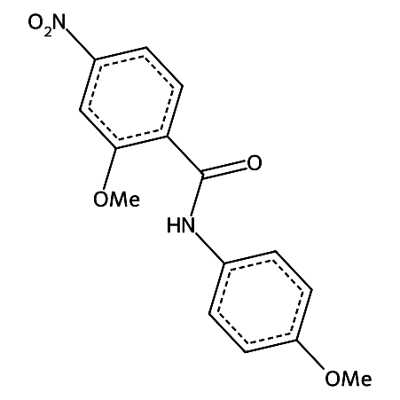 COc1ccc(NC(=O)c2ccc([N+](=O)[O-])cc2OC)cc1